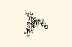 CCc1ccc2c(c1)cc(OC(=O)NC1CCN(C(C)C)CC1)n2Cc1cc(-c2ccc(Cl)s2)on1